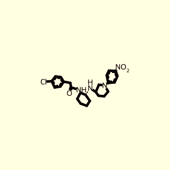 O=C(Cc1ccc(Cl)cc1)N[C@@H]1CCCC[C@H]1NC1CCCN(c2ccc([N+](=O)[O-])cc2)C1